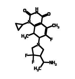 CC1=C(F)C(N2CC(C(C)N)C(F)(F)C2)C(C)c2c1c(=O)[nH]c(=O)n2C1CC1